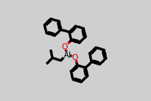 CC(C)[CH2][Al]([O]c1ccccc1-c1ccccc1)[O]c1ccccc1-c1ccccc1